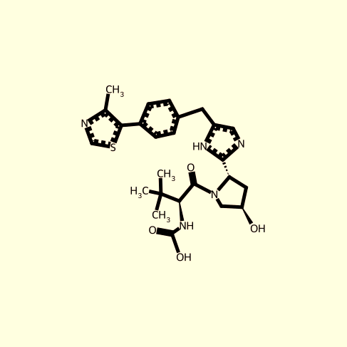 Cc1ncsc1-c1ccc(Cc2cnc([C@@H]3C[C@@H](O)CN3C(=O)[C@@H](NC(=O)O)C(C)(C)C)[nH]2)cc1